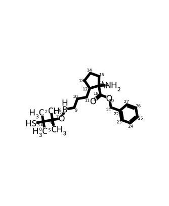 CC(C)(S)C(C)(C)OBCCCC1CCCC1(N)C(=O)OCc1ccccc1